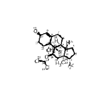 CC(=O)[C@H]1CC[C@H]2[C@@H]3CCC4=CC(=O)CC[C@]4(C)[C@@]3(Br)C(=O)C[C@]12C.ClCCl